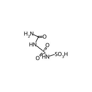 NC(=O)NS(=O)(=O)NS(=O)(=O)O